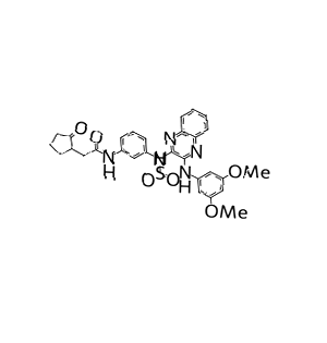 COc1cc(Nc2nc3ccccc3nc2N(c2cccc(NC(=O)CC3CCCC3=O)c2)[SH](=O)=O)cc(OC)c1